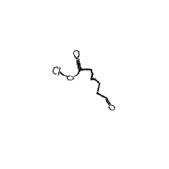 O=CCCCCC(=O)OCl